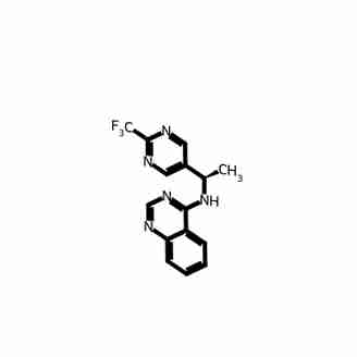 C[C@@H](Nc1ncnc2ccccc12)c1cnc(C(F)(F)F)nc1